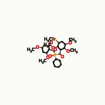 COc1cc(OC)c(C(=O)P(=O)(C(=O)c2c(OC)c(Br)cc(OC)c2OC)c2ccccc2)c(OC)c1